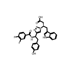 O=C(O)C[C@@H](Cc1c[nH]c2ccccc12)n1cc(C(Cc2ccc(O)cc2)NC(=O)c2ccc(F)c(F)c2)nn1